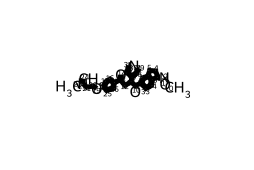 CO/N=C1/CCc2cc(C(=O)C(CC(=O)c3ccc(OCCN(C)C)cc3)c3ccncc3)ccc21